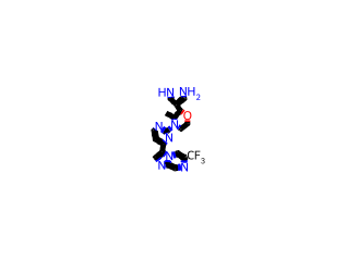 CC1C(/C(C=N)=C/N)OCCN1c1nccc(-c2cnc3cnc(C(F)(F)F)cn23)n1